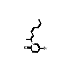 C\C=C/C=C\C=C(/C)n1cc(Br)ccc1=O